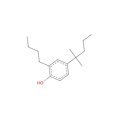 CCCCc1cc(C(C)(C)CCC)ccc1O